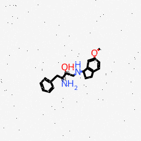 COc1ccc2c(c1)C(NC[C@@H](O)[C@@H](N)Cc1ccccc1)CC2